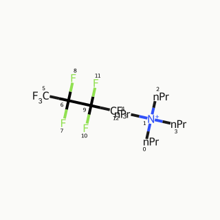 CCC[N+](CCC)(CCC)CCC.FC(F)(F)C(F)(F)C(F)(F)C(F)(F)F